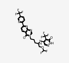 O=c1[nH]ncc(NC(CCCn2cnc3nc(-c4ccc(C(F)(F)F)cn4)ccc3c2=O)COC(F)F)c1C(F)(F)F